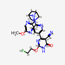 COc1cnc(CN2C3CC2CN(c2ccc(-c4nc(OCCF)[nH]c(=O)c4C#N)cn2)C3)cn1